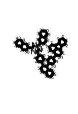 c1ccc2c(c1)-c1cccc3c(-c4ccc(-c5c(-c6ccc(-c7nc(-c8ccc9ccccc9c8)nc(-c8ccc9ccccc9c8)n7)cc6)ccc6ccccc56)cc4)ccc-2c13